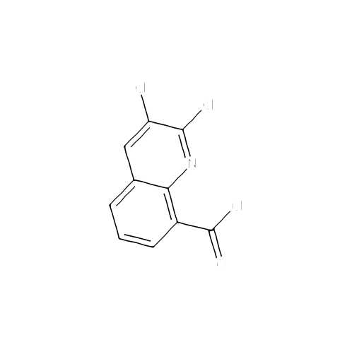 O=C(Cl)c1cccc2cc(Cl)c(Cl)nc12